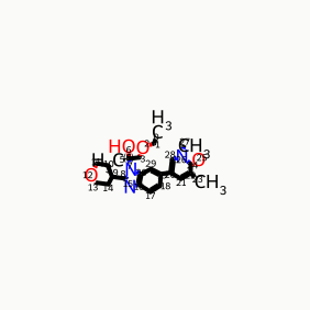 CCOC[C@](C)(O)n1c(C2CCOCC2)nc2ccc(-c3cc(C)c(=O)n(C)c3)cc21